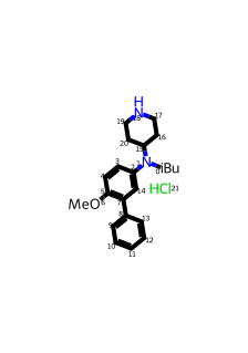 CCC(C)N(c1ccc(OC)c(-c2ccccc2)c1)C1CCNCC1.Cl